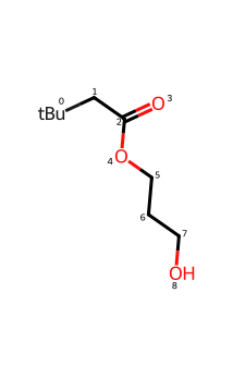 CC(C)(C)CC(=O)OCCCO